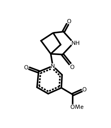 COC(=O)c1ccc(=O)n(C23CC(C2)C(=O)NC3=O)c1